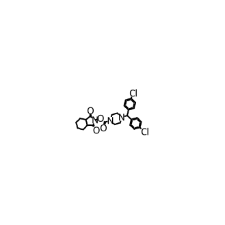 O=C(ON1C(=O)C2CCCCC2C1=O)N1CCN(C(c2ccc(Cl)cc2)c2ccc(Cl)cc2)CC1